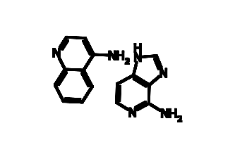 Nc1ccnc2ccccc12.Nc1nccc2[nH]cnc12